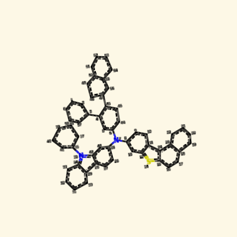 c1ccc(-c2cc(N(c3ccc4c(c3)sc3ccc5ccccc5c34)c3ccc4c5ccccc5n(-c5ccccc5)c4c3)ccc2-c2ccc3ccccc3c2)cc1